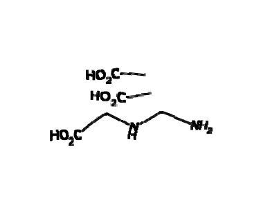 CC(=O)O.CC(=O)O.NCNCC(=O)O